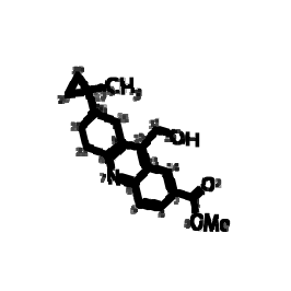 COC(=O)c1ccc2nc3c(c(CO)c2c1)CC(C1(C)CC1)CC3